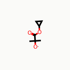 CC(C)([O])C(=O)OC1CC1